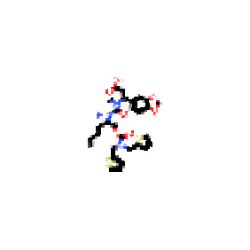 CCCCC(COC(=O)N(Cc1cccs1)Cc1cccs1)NC(=O)N(C)C(CC(=O)O)c1ccc2c(c1)OCO2